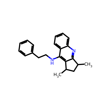 CC1CC(C)c2c1nc1ccccc1c2NCCc1ccccc1